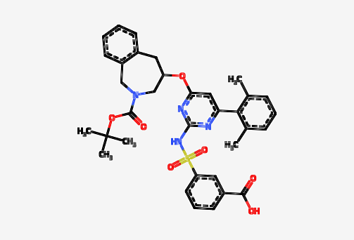 Cc1cccc(C)c1-c1cc(OC2Cc3ccccc3CN(C(=O)OC(C)(C)C)C2)nc(NS(=O)(=O)c2cccc(C(=O)O)c2)n1